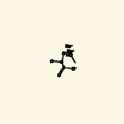 CO.O=S([O-])S(=O)[O-].[Na+].[Na+]